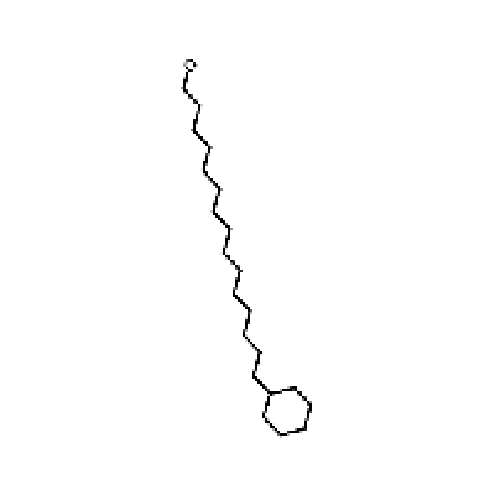 [O]CCCCCCCCCCCCCCCC1CCCCC1